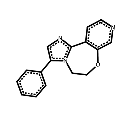 c1ccc(-c2cnc3n2CCOc2cnccc2-3)cc1